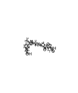 O=C1CCC(N2C(=O)c3ccc(NC[C@H]4C[C@H](n5cc(-c6cccc(N7CC(O)C7)n6)c(C6CC6)n5)C4)cc3C2=O)C(=O)N1